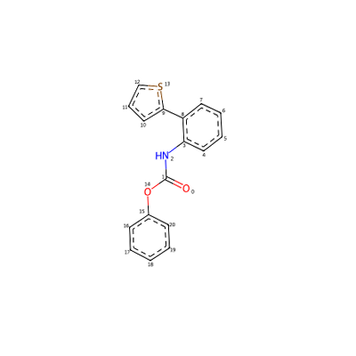 O=C(Nc1ccccc1-c1cccs1)Oc1ccccc1